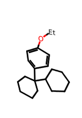 CCOc1ccc(C2(C3CCCCC3)CCCCC2)cc1